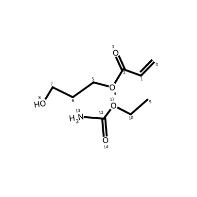 C=CC(=O)OCCCO.CCOC(N)=O